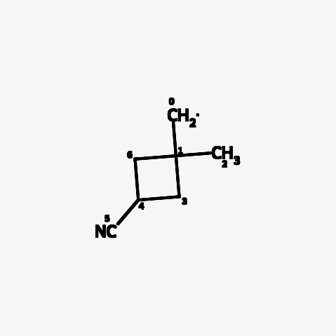 [CH2]C1(C)CC(C#N)C1